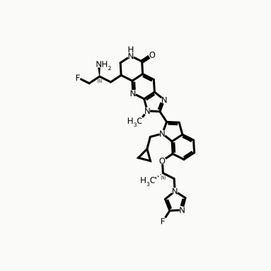 C[C@@H](Cn1cnc(F)c1)Oc1cccc2cc(-c3nc4cc5c(nc4n3C)C(C[C@H](N)CF)CNC5=O)n(CC3CC3)c12